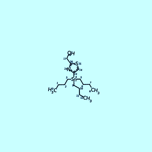 CCC[CH2][Sn]([CH2]CCC)([CH2]CCC)[c]1csc(CO)n1